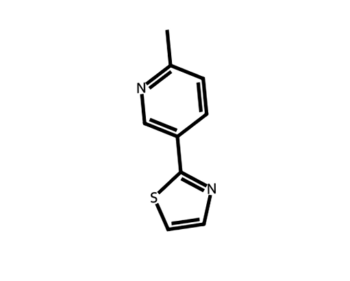 Cc1ccc(-c2nccs2)cn1